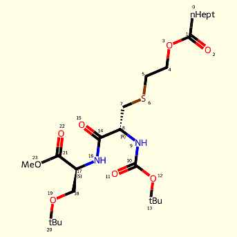 CCCCCCCC(=O)OCCSC[C@H](NC(=O)OC(C)(C)C)C(=O)N[C@@H](COC(C)(C)C)C(=O)OC